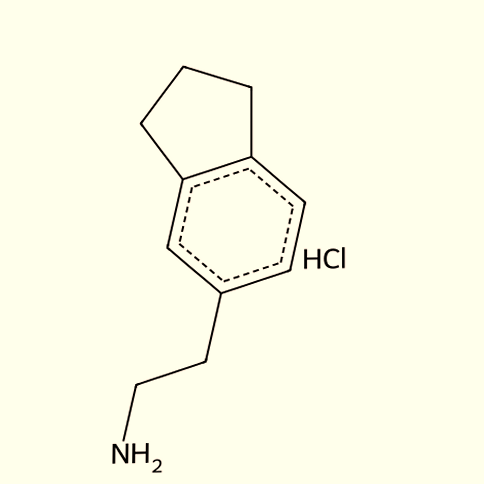 Cl.NCCc1ccc2c(c1)CCC2